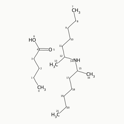 CCCCC(=O)O.CCCCCC(C)NC(C)CCCCC